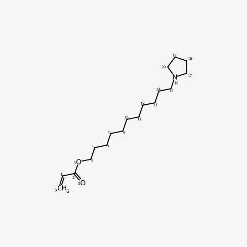 C=CC(=O)OCCCCCCCCCCCN1CCCC1